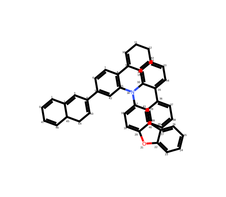 C1=CC2=CC(c3ccc(C4=CCCC=C4)c(N(c4ccc5oc6ccccc6c5c4)c4ccccc4-c4ccccc4)c3)=CCC2C=C1